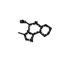 Cc1cnc2c3ccccc3nc(C(C)(C)C)n12